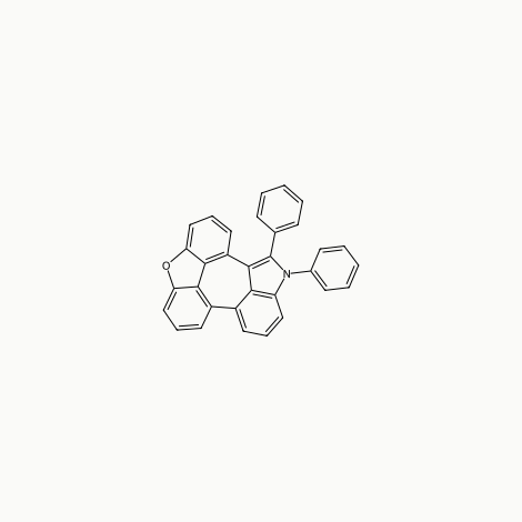 c1ccc(-c2c3c4c(cccc4n2-c2ccccc2)-c2cccc4oc5cccc-3c5c24)cc1